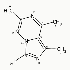 Cc1nc(C)c2c(C)nc(I)n2n1